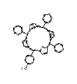 Oc1ccc(-c2c3nc(c(-c4ccccc4)c4ccc([nH]4)c(-c4ccccc4)c4nc(c(-c5ccccc5)c5ccc2[nH]5)C=C4)C=C3)cc1